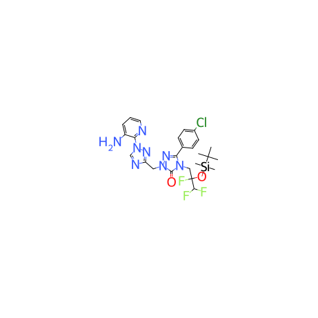 CC(C)(C)[Si](C)(C)OC(F)(Cn1c(-c2ccc(Cl)cc2)nn(Cc2ncn(-c3ncccc3N)n2)c1=O)C(F)F